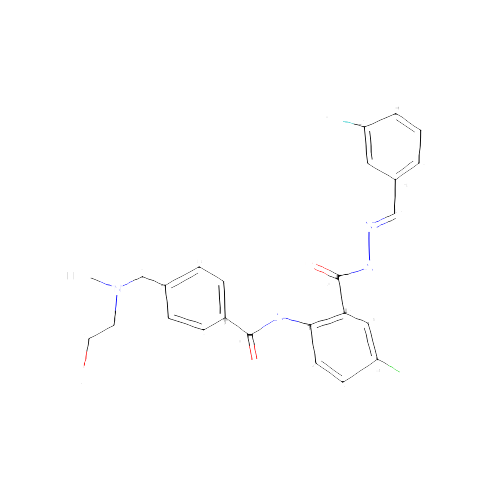 CN(CCO)Cc1ccc(C(=O)Nc2ccc(Cl)cc2C(=O)N/N=C/c2cccc(F)c2)cc1